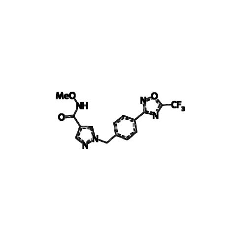 CONC(=O)c1cnn(Cc2ccc(-c3noc(C(F)(F)F)n3)cc2)c1